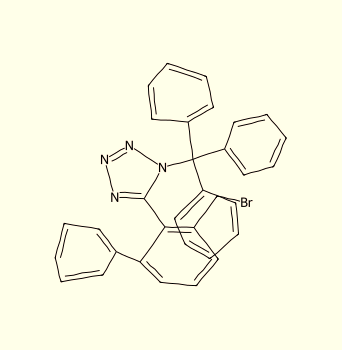 BrCc1cccc(-c2ccccc2)c1-c1nnnn1C(c1ccccc1)(c1ccccc1)c1ccccc1